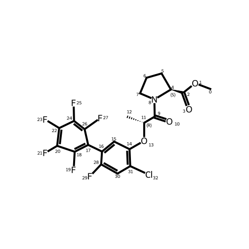 COC(=O)[C@@H]1CCCN1C(=O)[C@@H](C)Oc1cc(-c2c(F)c(F)c(F)c(F)c2F)c(F)cc1Cl